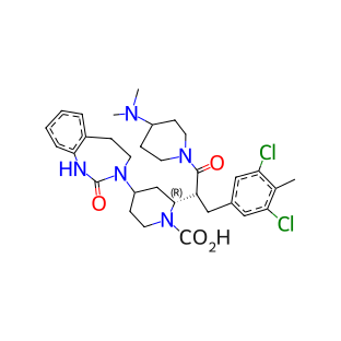 Cc1c(Cl)cc(CC(C(=O)N2CCC(N(C)C)CC2)[C@H]2CC(N3CCc4ccccc4NC3=O)CCN2C(=O)O)cc1Cl